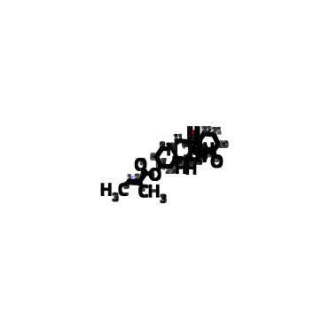 C/C=C(\C)C(=O)O[C@H]1CCN2C[C@@H]3[C@H](O)[C@@H](CN4C(=O)CCC[C@H]34)[C@@H]2C1